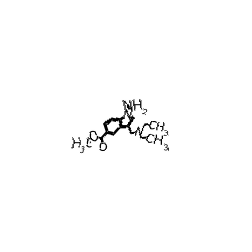 CCN(CC)Cc1cn(N)c2ccc(C(=O)OC)cc12